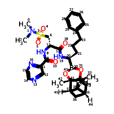 CN(C)S(=O)(=O)C[C@@H](NC(=O)c1cnccn1)C(=O)N[C@@H](CCCc1ccccc1)B1O[C@]2(C)C[C@@H]3C[C@@H](C3(C)C)[C@]2(C)O1